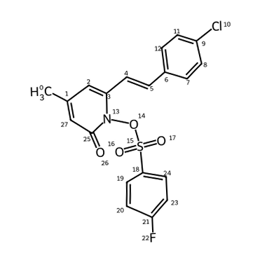 Cc1cc(/C=C/c2ccc(Cl)cc2)n(OS(=O)(=O)c2ccc(F)cc2)c(=O)c1